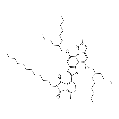 CCCCCCCCCCCCN1C(=O)c2c(C)ccc(-c3cc4cc(OCC(CCCC)CCCCCC)c5c6sc(C)cc6cc(OCC(CCCC)CCCCCC)c5c4s3)c2C1=O